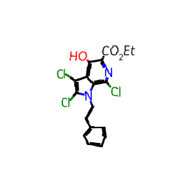 CCOC(=O)c1nc(Cl)c2c(c1O)c(Cl)c(Cl)n2CCc1ccccc1